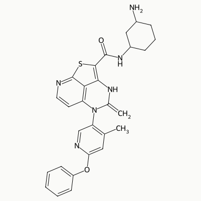 C=c1[nH]c2c(C(=O)NC3CCCC(N)C3)sc3nccc(c32)n1-c1cnc(Oc2ccccc2)cc1C